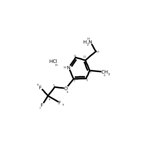 Cc1cc(OCC(F)(F)F)ncc1CN.Cl